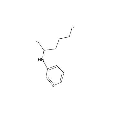 [CH2]CCCC([CH2])Nc1cccnc1